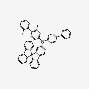 Cc1ccccc1-c1ccc(N(c2ccc(-c3ccccc3)cc2)c2ccc3c(c2)C2(c4ccccc4-c4ccccc42)c2ccccc2-3)cc1C